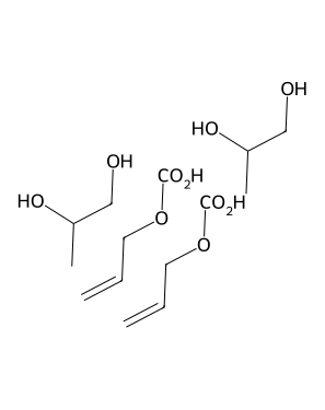 C=CCOC(=O)O.C=CCOC(=O)O.CC(O)CO.CC(O)CO